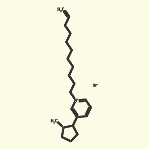 C=CCCCCCCCCC[n+]1cccc(C2CCCN2C)c1.[Br-]